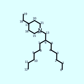 CCCCCCC(CCCCCC)CN1CCC(CC)CC1